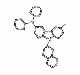 Cc1ccc2c(c1)c1cc(N(c3ccccc3)c3ccccc3)ccc1n2-c1ccc2ccccc2c1